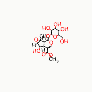 COC(=O)C1=CO[C@@H](O[C@@H]2O[C@H](CO)[C@@H](O)[C@H](O)[C@H]2O)[C@H]2[C@@H]1[C@H](O)[C@@H]1O[C@]21C